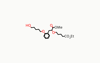 CCOC(=O)CCCCOC(Cc1ccccc1OCCCCCO)C(=O)OC